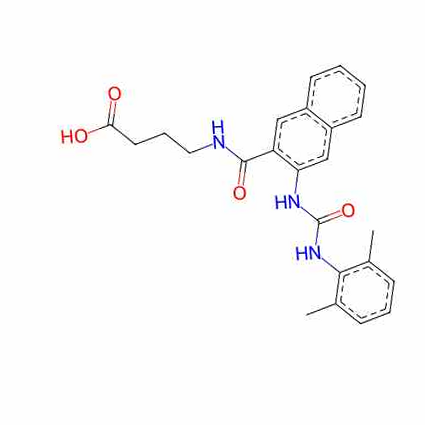 Cc1cccc(C)c1NC(=O)Nc1cc2ccccc2cc1C(=O)NCCCC(=O)O